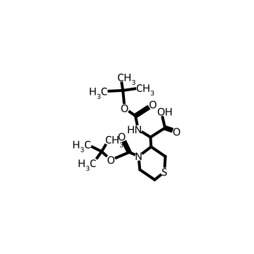 CC(C)(C)OC(=O)NC(C(=O)O)C1CSCCN1C(=O)OC(C)(C)C